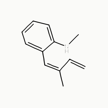 C=C/C(C)=C\c1ccccc1NC